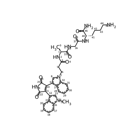 C[C@H](NC(=O)CCn1cc(C2=C(c3cn(C)c4ccccc34)C(=O)NC2=O)c2ccccc21)C(=O)NCC(=O)N[C@@H](CCCCN)C(N)=O